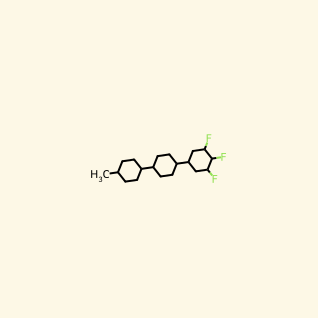 CC1CCC(C2CCC(C3CC(F)C(F)C(F)C3)CC2)CC1